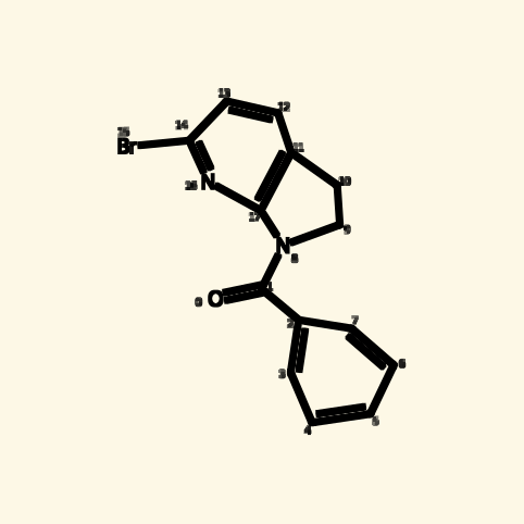 O=C(c1ccccc1)N1CCc2ccc(Br)nc21